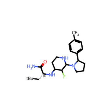 CC(C)(C)C[C@@H](NC1CCNC(N2CCCC2c2ccc(C(F)(F)F)cc2)C1F)C(N)=O